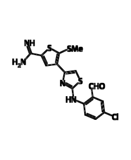 CSc1sc(C(=N)N)cc1-c1csc(Nc2ccc(Cl)cc2C=O)n1